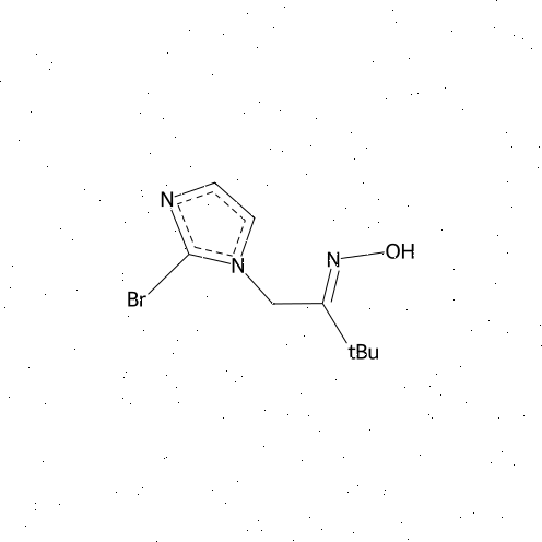 CC(C)(C)C(Cn1ccnc1Br)=NO